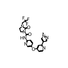 Cn1cc(-c2cc(Oc3ccc(NC(=O)N4CCN(CC(F)(F)F)C4=O)nc3)ccn2)cn1